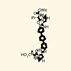 COC(=O)N[C@H](C(=O)N1[C@@H]2C[C@@H]2C[C@H]1c1nc2ccc(-c3ccc(-c4ccc5nc([C@@H]6C[C@H]7C[C@H]7N6C(=O)[C@H](C(C)C)N(C)C(=O)O)[nH]c5c4)cc3)cc2[nH]1)C(C)C